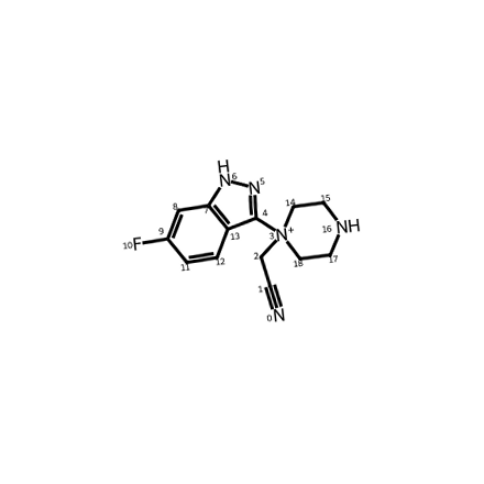 N#CC[N+]1(c2n[nH]c3cc(F)ccc23)CCNCC1